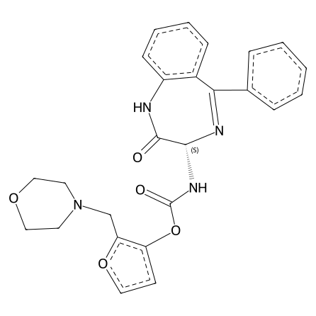 O=C(N[C@H]1N=C(c2ccccc2)c2ccccc2NC1=O)Oc1ccoc1CN1CCOCC1